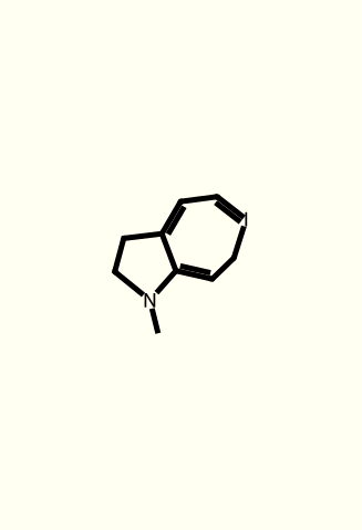 CN1CCC2=CC=ICC=C21